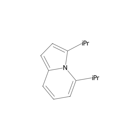 CC(C)c1cccc2ccc(C(C)C)n12